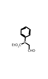 CCOC(=O)N(C[C]=O)c1ccccc1